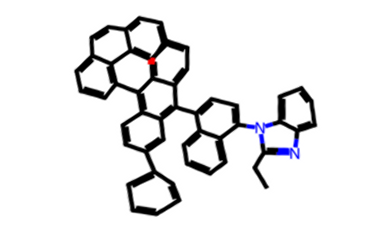 CCc1nc2ccccc2n1-c1ccc(-c2c3ccccc3c(-c3cccc4ccc5ccccc5c34)c3ccc(-c4ccccc4)cc23)c2ccccc12